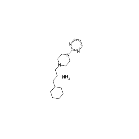 N[C@H](CC1CCCCC1)CN1CCN(c2ncccn2)CC1